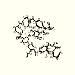 CCOc1cc(N2CCC(C(=O)N3CCC(CN4CCN(Cc5ccc(N(C(=N)c6cc(C(C)C)c(O)cc6O)C(N)=O)cc5)CC4)CC3)CC2)ccc1Nc1ncc2c(n1)N(C)c1ccccc1C(=O)N2C